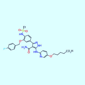 CCS(=O)(=O)Nc1ccc(-c2n[nH]c(Nc3ccc(OCCCCC(=O)O)cn3)c2C(N)=O)cc1OCc1ccc(F)cc1